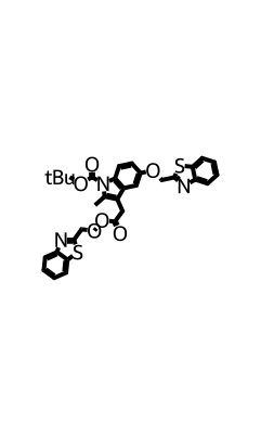 Cc1c(CC(=O)OOCc2nc3ccccc3s2)c2cc(OCc3nc4ccccc4s3)ccc2n1C(=O)OC(C)(C)C